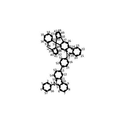 c1ccc(-n2c3ccccc3c3cc(-c4ccc(-n5c6ccccc6c6cc7c(cc65)C5(c6ccccc6Sc6ccccc65)c5ccccc5-7)cc4)ccc32)cc1